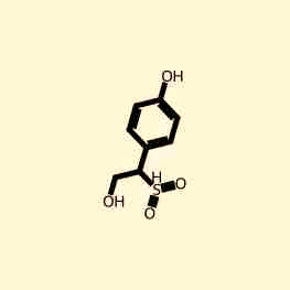 O=[SH](=O)C(CO)c1ccc(O)cc1